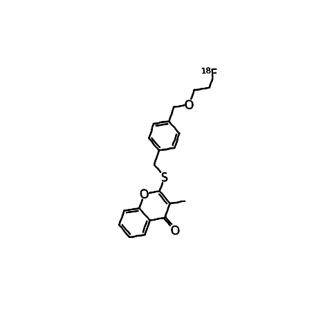 Cc1c(SCc2ccc(COCC[18F])cc2)oc2ccccc2c1=O